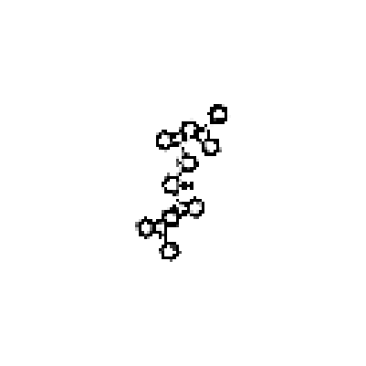 C1=CC(c2cccc(-n3c4ccccc4c4ccc5c(c6ccccc6n5-c5ccccc5)c43)n2)NC(n2c3ccccc3c3cc4c(cc32)c2ccccc2n4-c2ccccc2)=C1